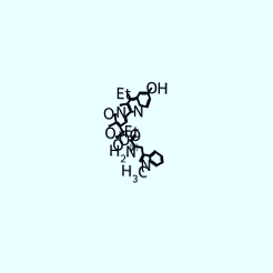 CCc1c2c(nc3ccc(O)cc13)-c1cc3c(c(=O)n1C2)COC(=O)[C@@]3(CC)OC(=O)[C@H](N)Cc1cn(C)c2ccccc12